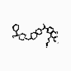 NC(=O)N(CCC=O)c1cc(C(=O)N2CCC3(CCC(CN4CCN(C(=O)C5CCCCC5)CC4)CC3)CC2)ccc1Cl